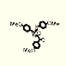 COc1ccc(N=c2oc(C(=O)c3ccc(OC)cc3)nn2-c2ccc(OC)cc2)cc1